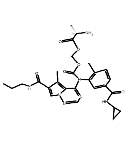 CCCNC(=O)c1cn2ncnc(N(C(=O)OCOC(=O)[C@H](C)N)c3cc(C(=O)NC4CC4)ccc3C)c2c1C